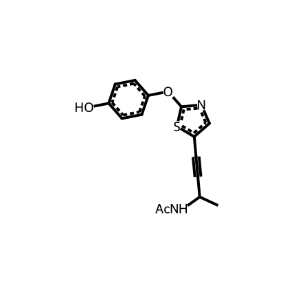 CC(=O)NC(C)C#Cc1cnc(Oc2ccc(O)cc2)s1